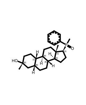 C[C@@]1(O)CC[C@H]2[C@H](CC[C@@H]3[C@@H]2CC[C@@]2(C)[C@H]3CC[C@@H]2P(C)(=O)c2ccccc2)C1